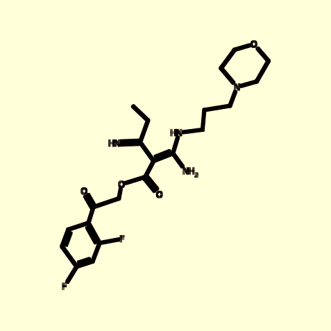 CCC(=N)/C(C(=O)OCC(=O)c1ccc(F)cc1F)=C(/N)NCCCN1CCOCC1